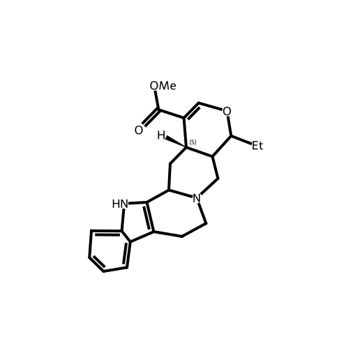 CCC1OC=C(C(=O)OC)[C@H]2CC3c4[nH]c5ccccc5c4CCN3CC12